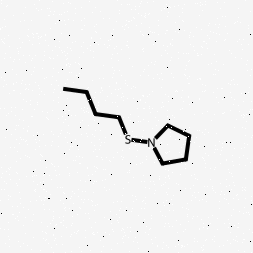 CCCCSN1CCCC1